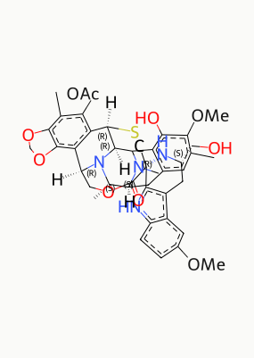 COc1ccc2[nH]c3c(c2c1)C[C@@H](CO)N[C@]31CS[C@@H]2c3c(OC(C)=O)c(C)c4c(c3[C@H](COC1=O)N1[C@@H]2C2c3c(cc(C)c(OC)c3O)C[C@@H]([C@@H]1C)N2C)OCO4